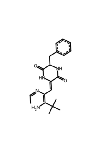 C\C=N/C(/C=C1\NC(=O)C(Cc2ccccc2)NC1=O)=C(\N)C(C)(C)C